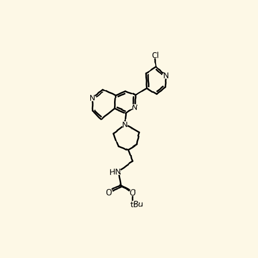 CC(C)(C)OC(=O)NCC1CCN(c2nc(-c3ccnc(Cl)c3)cc3cnccc23)CC1